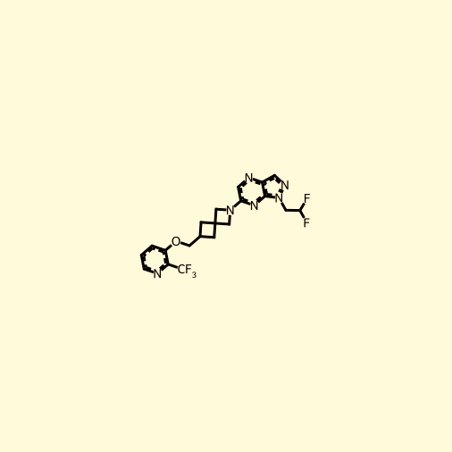 FC(F)Cn1ncc2ncc(N3CC4(CC(COc5cccnc5C(F)(F)F)C4)C3)nc21